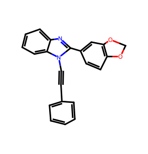 C(#Cn1c(-c2ccc3c(c2)OCO3)nc2ccccc21)c1ccccc1